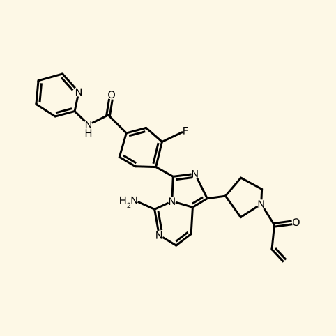 C=CC(=O)N1CCC(c2nc(-c3ccc(C(=O)Nc4ccccn4)cc3F)n3c(N)nccc23)C1